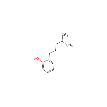 CC(C)CCCc1ccccc1O